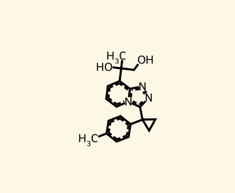 Cc1ccc(C2(c3nnc4c(C(C)(O)CO)cccn34)CC2)cc1